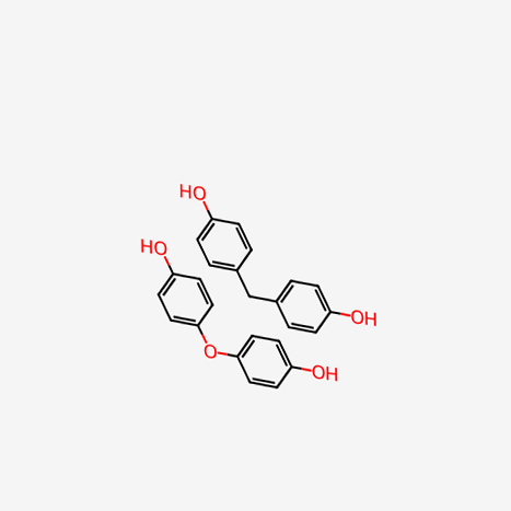 Oc1ccc(Cc2ccc(O)cc2)cc1.Oc1ccc(Oc2ccc(O)cc2)cc1